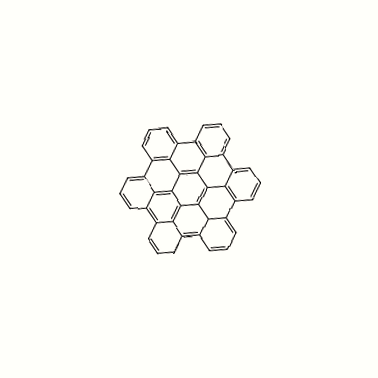 C1=CC2=C3CC=Cc4c3c3c5c6c7c(cccc7c7cccc8c9cccc%10c%11cccc4c%11c3c(c%109)c6c78)C(=C1)C25